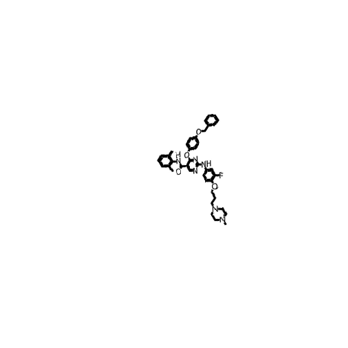 Cc1cccc(C)c1NC(=O)c1cnc(Nc2ccc(OCCCN3CCN(C)CC3)c(F)c2)nc1Oc1ccc(OCc2ccccc2)cc1